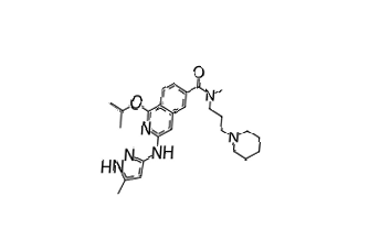 Cc1cc(Nc2cc3cc(C(=O)N(C)CCCN4CCCCC4)ccc3c(OC(C)C)n2)n[nH]1